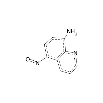 Nc1ccc(N=O)c2cccnc12